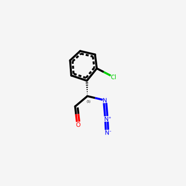 [N-]=[N+]=N[C@H](C=O)c1ccccc1Cl